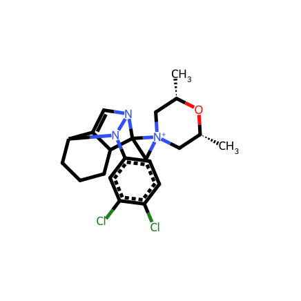 C[C@@H]1C[N+]2(C[C@H](C)O1)CC21C2CCCC3C2=CN1N3c1ccc(Cl)c(Cl)c1